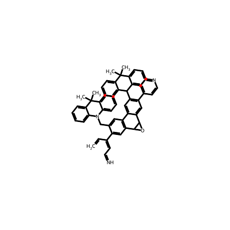 C=C/C(=C\C=N)c1cc2c(cc1CN1c3ccccc3C(C)(C)c3ccccc31)-c1cc(C3c4ccccc4C(C)(C)c4ccccc43)c(-c3ccncc3)cc1C1OC21